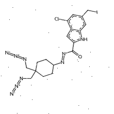 [N-]=[N+]=NCC1(CN=[N+]=[N-])CCC(N=NC(=O)c2cc3c(Cl)cc(CI)cc3[nH]2)CC1